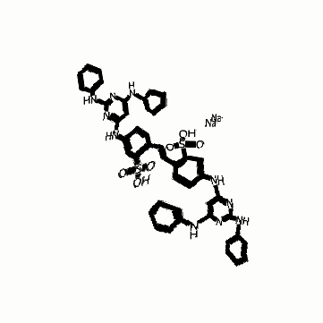 O=S(=O)(O)c1cc(Nc2cc(Nc3ccccc3)nc(Nc3ccccc3)n2)ccc1C=Cc1ccc(Nc2cc(Nc3ccccc3)nc(Nc3ccccc3)n2)cc1S(=O)(=O)O.[Na].[Na]